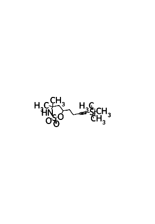 CC1(C)CC(CCC#C[Si](C)(C)C)OS(=O)(=O)N1